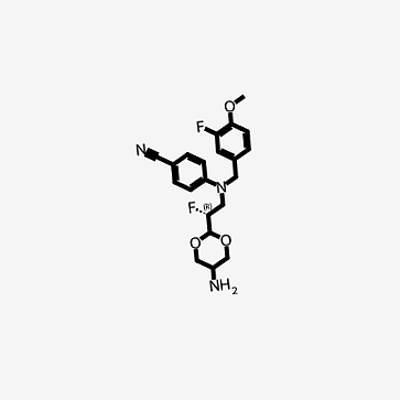 COc1ccc(CN(C[C@@H](F)C2OCC(N)CO2)c2ccc(C#N)cc2)cc1F